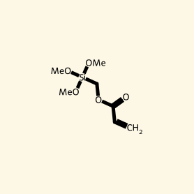 C=CC(=O)OC[Si](OC)(OC)OC